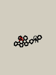 c1ccc(C23c4ccccc4-c4cccc(c42)C2(c4ccccc4-c4c(-c5ccc(-c6nc7ccccc7o6)cc5)cccc42)c2ccccc23)cc1